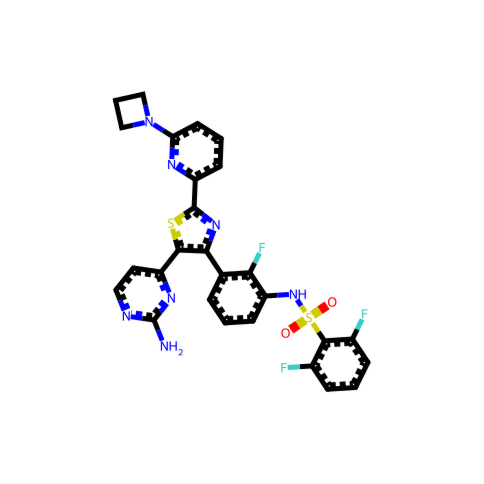 Nc1nccc(-c2sc(-c3cccc(N4CCC4)n3)nc2-c2cccc(NS(=O)(=O)c3c(F)cccc3F)c2F)n1